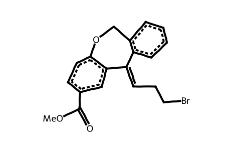 COC(=O)c1ccc2c(c1)/C(=C/CCBr)c1ccccc1CO2